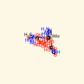 CCNC(=O)CC1[C@@H](O)C(n2c[n+](C)c3c(=O)[nH]c(N)nc32)O[C@@H]1COP(=O)(O)OP(=O)(O)OP(=O)(O)OC[C@H]1O[C@@H](n2cnc3c(N)ncnc32)[C@H](OC)[C@@H]1OP(=O)([O-])OC[C@H]1O[C@@H](n2ccc(=O)[nH]c2=O)[C@H](O)[C@@H]1O